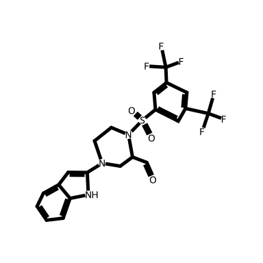 O=CC1CN(c2cc3ccccc3[nH]2)CCN1S(=O)(=O)c1cc(C(F)(F)F)cc(C(F)(F)F)c1